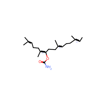 C/C=C(\C)CC/C=C(\C)CC/C(OC(N)=O)=C(/C)CCC=C(C)C